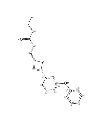 CCOC(=O)CC[C@H]1C[C@H](c2cccc(Oc3ccccc3)c2)C1